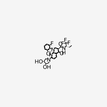 CC[C@H](NC(=O)c1cn(-c2c(F)cccc2Cl)c2nc(N3C[C@@H](O)[C@H](O)C3)ccc2c1=O)C(F)(F)F